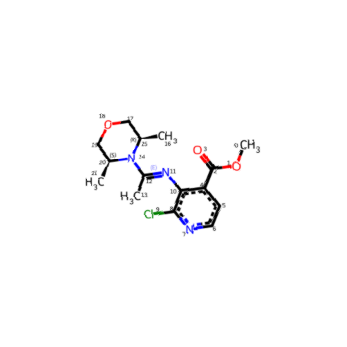 COC(=O)c1ccnc(Cl)c1/N=C(\C)N1[C@H](C)COC[C@@H]1C